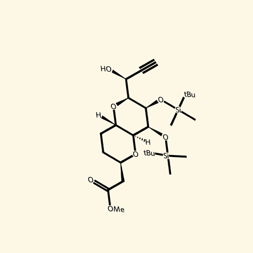 C#C[C@H](O)[C@@H]1O[C@H]2CC[C@H](CC(=O)OC)O[C@@H]2[C@H](O[Si](C)(C)C(C)(C)C)[C@@H]1O[Si](C)(C)C(C)(C)C